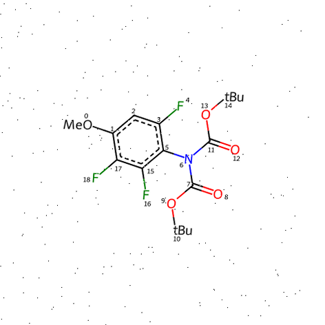 COc1cc(F)c(N(C(=O)OC(C)(C)C)C(=O)OC(C)(C)C)c(F)c1F